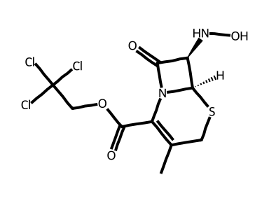 CC1=C(C(=O)OCC(Cl)(Cl)Cl)N2C(=O)[C@@H](NO)[C@H]2SC1